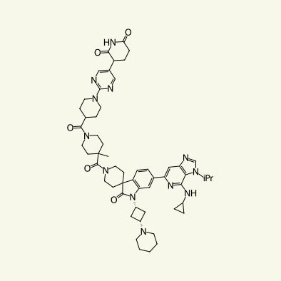 CC(C)n1cnc2cc(-c3ccc4c(c3)N([C@H]3C[C@@H](N5CCCCC5)C3)C(=O)C43CCN(C(=O)C4(C)CCN(C(=O)C5CCN(c6ncc(C7CCC(=O)NC7=O)cn6)CC5)CC4)CC3)nc(NC3CC3)c21